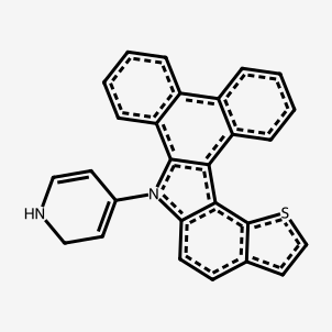 C1=CC(n2c3ccc4ccsc4c3c3c4ccccc4c4ccccc4c32)=CCN1